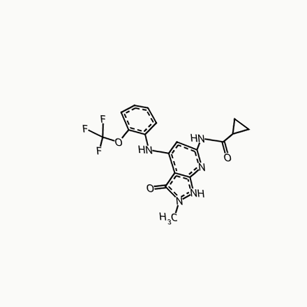 Cn1[nH]c2nc(NC(=O)C3CC3)cc(Nc3ccccc3OC(F)(F)F)c2c1=O